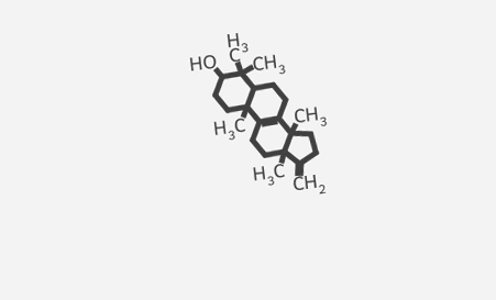 C=C1CCC2(C)C3=C(CCC12C)C1(C)CCC(O)C(C)(C)C1CC3